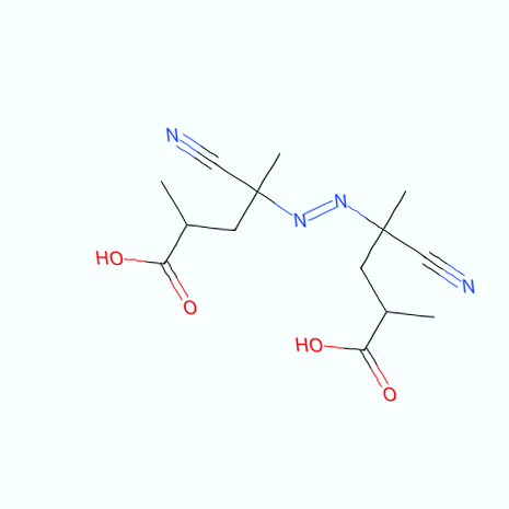 CC(CC(C)(C#N)N=NC(C)(C#N)CC(C)C(=O)O)C(=O)O